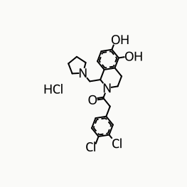 Cl.O=C(Cc1ccc(Cl)c(Cl)c1)N1CCc2c(ccc(O)c2O)C1CN1CCCC1